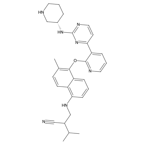 Cc1ccc2c(NCC(C#N)C(C)C)cccc2c1Oc1ncccc1-c1ccnc(N[C@H]2CCCNC2)n1